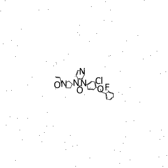 C=CC(=O)N1CC[C@@H](n2c(=O)n(-c3ccc(OCc4ccccc4F)c(Cl)c3)c3cnccc32)C1